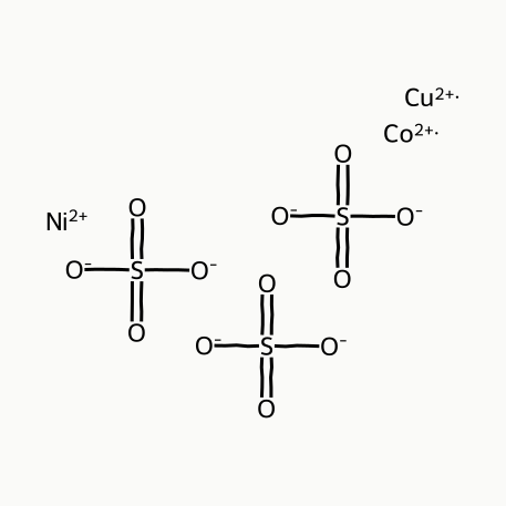 O=S(=O)([O-])[O-].O=S(=O)([O-])[O-].O=S(=O)([O-])[O-].[Co+2].[Cu+2].[Ni+2]